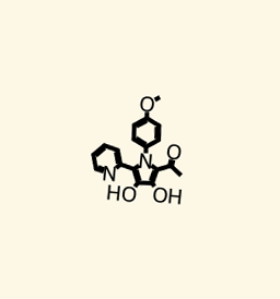 COc1ccc(-n2c(C(C)=O)c(O)c(O)c2-c2ccccn2)cc1